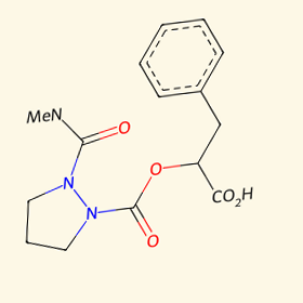 CNC(=O)N1CCCN1C(=O)OC(Cc1ccccc1)C(=O)O